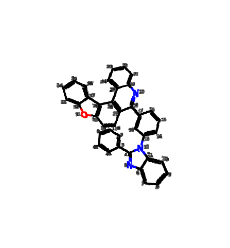 c1ccc(-c2nc3ccccc3n2-c2cccc(-c3nc4ccccc4c4c3ccc3oc5ccccc5c34)c2)cc1